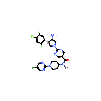 CCN(C(=O)c1cnc(N2C[C@H](c3cc(F)c(F)cc3F)[C@@H](N)C2)nc1)C1CCN(c2ncc(Cl)cn2)CC1